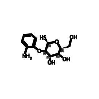 Nc1ccccc1O[C@@H]1[C@@H](O)[C@H](O)[C@@H](CO)O[C@H]1S